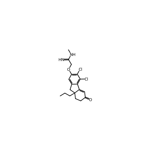 CCCC12CCC(=O)C=C1c1c(cc(OCC(=N)NC)c(Cl)c1Cl)C2